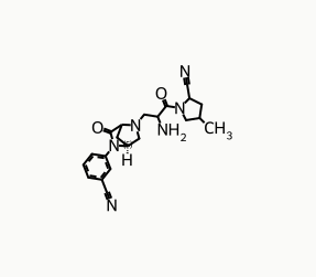 CC1CC(C#N)N(C(=O)C(N)CN2C[C@@H]3CC2C(=O)N3c2cccc(C#N)c2)C1